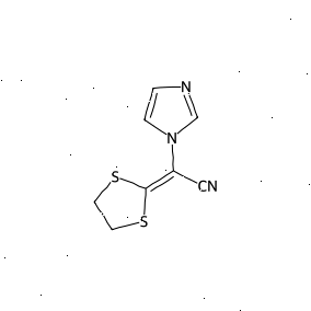 N#CC(=C1SCCS1)n1ccnc1